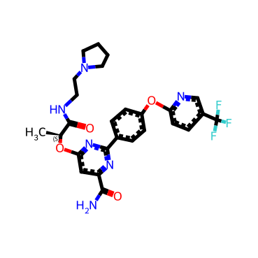 C[C@H](Oc1cc(C(N)=O)nc(-c2ccc(Oc3ccc(C(F)(F)F)cn3)cc2)n1)C(=O)NCCN1CCCC1